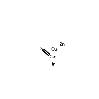 [Cu].[In].[S]=[Ga].[Zn]